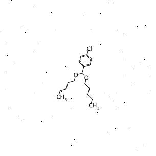 CCCCCOC(OCCCCC)c1ccc(Cl)cc1